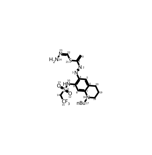 C=C(N=Nc1cc2c(cc1NS(=O)(=O)CC(F)(F)F)N(CCCC)CCC2)S/C=N\N